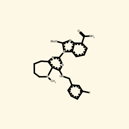 COc1nc2c(C(N)=O)cccc2n1-c1nc2c(c(NCc3cccc(F)c3)n1)N(C)CCCC2